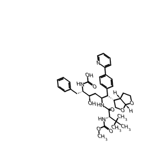 COC(=O)N[C@H](C(=O)NC(C[C@@H](O)[C@H](Cc1ccccc1)NC(=O)O)C(c1ccc(-c2ccccn2)cc1)[C@H]1CO[C@H]2OCC[C@H]21)C(C)(C)C